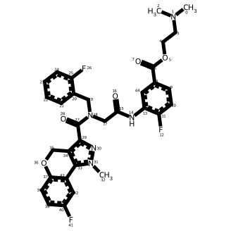 CN(C)CCOC(=O)c1ccc(F)c(NC(=O)CN(Cc2ccccc2F)C(=O)c2nn(C)c3c2COc2ccc(F)cc2-3)c1